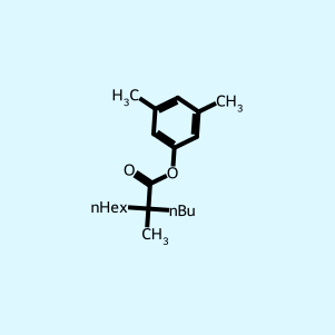 CCCCCCC(C)(CCCC)C(=O)Oc1cc(C)cc(C)c1